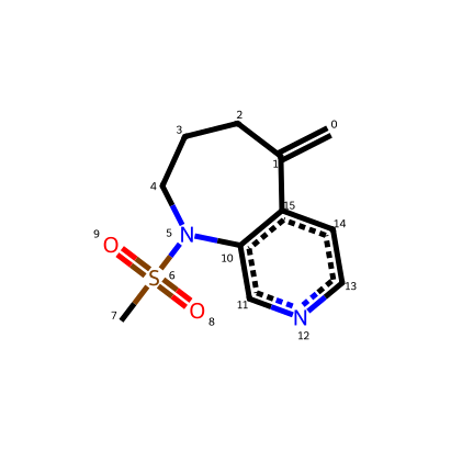 C=C1CCCN(S(C)(=O)=O)c2cnccc21